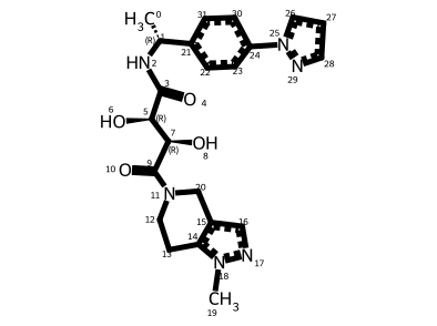 C[C@@H](NC(=O)[C@H](O)[C@@H](O)C(=O)N1CCc2c(cnn2C)C1)c1ccc(-n2cccn2)cc1